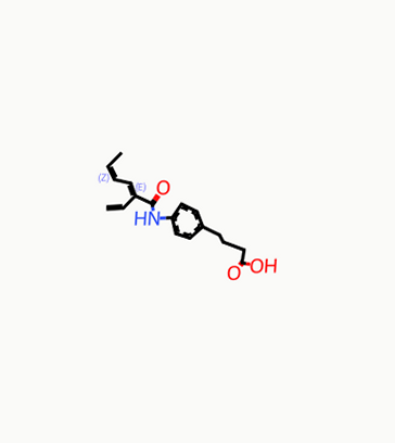 C=C/C(=C\C=C/C)C(=O)Nc1ccc(CCCC(=O)O)cc1